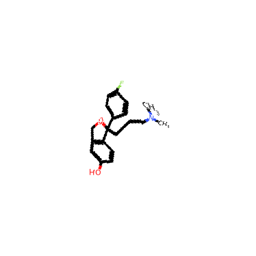 CN(C)CCCC1(c2ccc(F)cc2)OCc2cc(O)ccc21